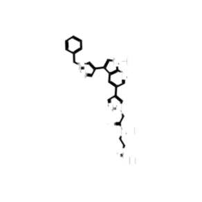 COCCNC(=O)Cn1cc(-c2cnc3[nH]cc(-c4cnn(Cc5ccccc5)c4)c3c2)cn1